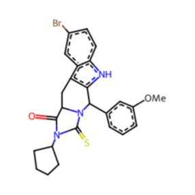 COc1cccc(C2c3[nH]c4ccc(Br)cc4c3CC3C(=O)N(C4CCCC4)C(=S)N32)c1